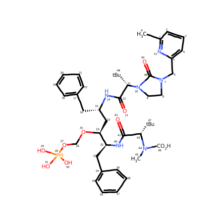 Cc1cccc(CN2CCN([C@H](C(=O)N[C@@H](Cc3ccccc3)C[C@H](OCO[PH](O)(O)O)[C@H](Cc3ccccc3)NC(=O)[C@@H](N(C)C(=O)O)C(C)(C)C)C(C)(C)C)C2=O)n1